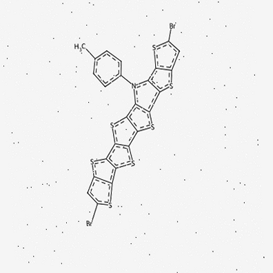 Cc1ccc(-n2c3c4sc(Br)cc4sc3c3sc4c5sc6c7sc(Br)cc7sc6c5sc4c32)cc1